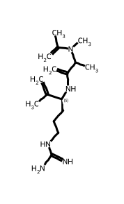 C=C(N[C@@H](CCCNC(=N)N)C(=C)C)C(C)N(C)C(=C)C